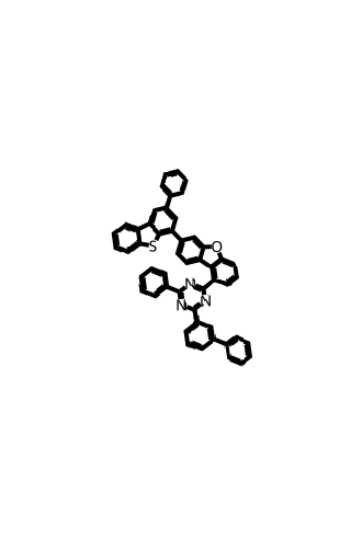 c1ccc(-c2cccc(-c3nc(-c4ccccc4)nc(-c4cccc5oc6cc(-c7cc(-c8ccccc8)cc8c7sc7ccccc78)ccc6c45)n3)c2)cc1